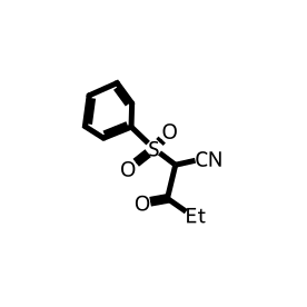 CCC(=O)C(C#N)S(=O)(=O)c1ccccc1